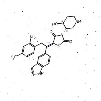 O=C1S/C(=C(/Cc2ccc(C(F)(F)F)cc2C(F)(F)F)c2ccc3[nH]ncc3c2)C(=O)N1[C@H]1CNCC[C@@H]1O